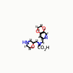 O=C(O)N(Cc1cc2c(cn1)OCCO2)CC1CNCCO1